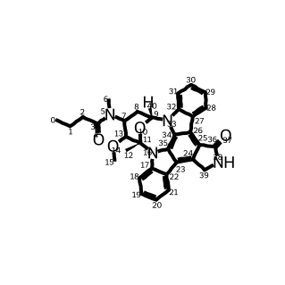 CCCC(=O)N(C)C1C[C@H]2O[C@@](C)(C1OC)n1c3ccccc3c3c4c(c5c6ccccc6n2c5c31)C(=O)NC4